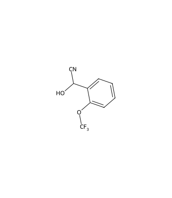 N#CC(O)c1ccccc1OC(F)(F)F